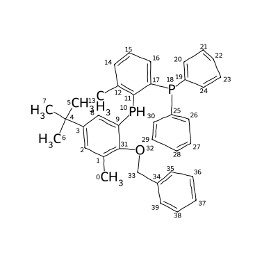 Cc1cc(C(C)(C)C)cc(Pc2c(C)cccc2P(c2ccccc2)c2ccccc2)c1OCc1ccccc1